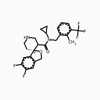 Cc1c(CN(C(=O)C2CNCC[C@@]23OCc2cc(F)c(F)cc23)C2CC2)cccc1C(F)(F)F